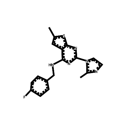 Cc1cc2c(NCc3ccc(F)cc3)nc(-n3ccnc3C)nc2s1